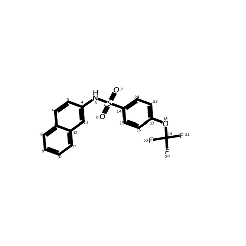 O=S(=O)(Nc1ccc2ccccc2c1)c1ccc(OC(F)(F)F)cc1